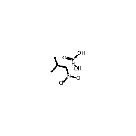 CC(C)CN(Cl)Cl.O=[PH](O)O